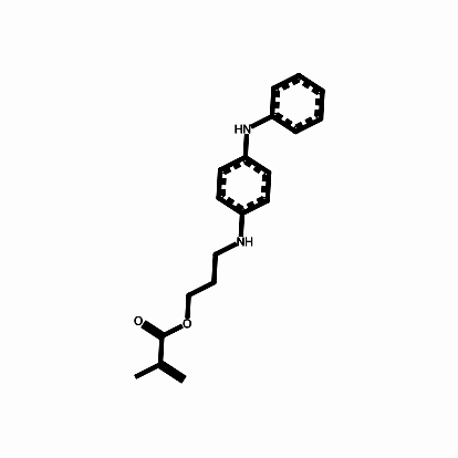 C=C(C)C(=O)OCCCNc1ccc(Nc2ccccc2)cc1